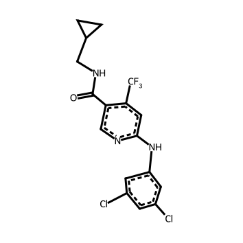 O=C(NCC1CC1)c1cnc(Nc2cc(Cl)cc(Cl)c2)cc1C(F)(F)F